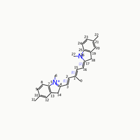 CC(/C=C/C1=[N+](C)c2ccc(C)cc2C1)=C\C=C1\Cc2cc(C)ccc2N1C